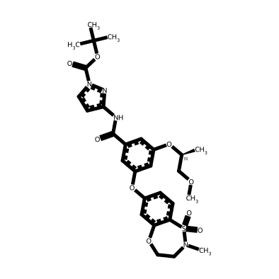 COC[C@H](C)Oc1cc(Oc2ccc3c(c2)OCCN(C)S3(=O)=O)cc(C(=O)Nc2ccn(C(=O)OC(C)(C)C)n2)c1